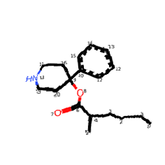 CCCCC(C)C(=O)OC1(c2ccccc2)CCNCC1